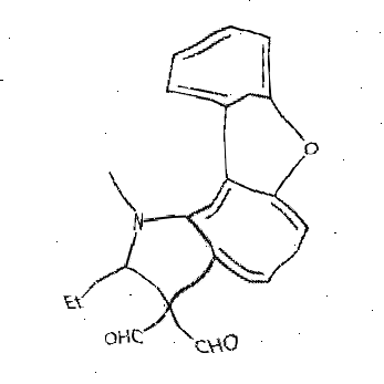 CCC1N(C)c2c(ccc3oc4ccccc4c23)C1(C=O)C=O